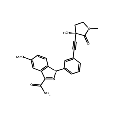 COc1ccc2c(c1)c(C(N)=O)nn2-c1cccc(C#C[C@]2(O)CCN(C)C2=O)c1